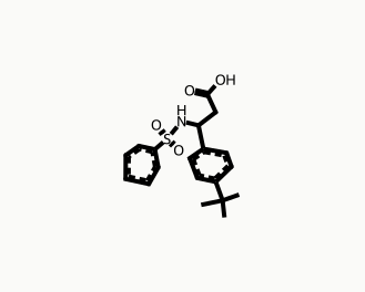 CC(C)(C)c1ccc(C(CC(=O)O)NS(=O)(=O)c2ccccc2)cc1